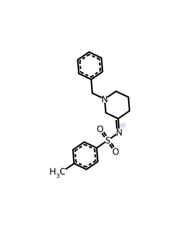 Cc1ccc(S(=O)(=O)/N=C2/CCCN(Cc3ccccc3)C2)cc1